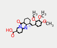 COc1ccc(/C=C2\CCCc3c2nc2ccc(C(=O)O)cn2c3=O)c(OC)c1OC